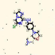 CN(C)C[C@@H]1CN(c2ccc(Nc3nc(Br)cn4ccnc34)cc2)CCO1